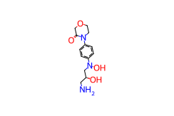 NC[C@H](O)CN(O)c1ccc(N2CCOCC2=O)cc1